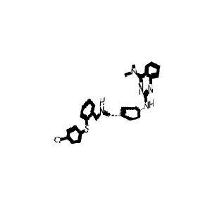 CN(C)c1nc(N[C@H]2CC[C@@H](CNCc3ccccc3Sc3ccc(Cl)cc3)CC2)nc2ccccc12